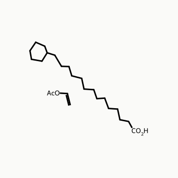 C=COC(C)=O.O=C(O)CCCCCCCCCCCCCC1CCCCC1